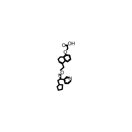 O=C(O)COc1cccc2c1CCC=C2CCON=C(CC1CCCC1)c1cccnc1